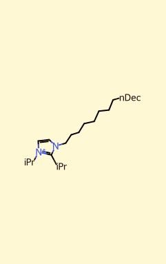 CCCCCCCCCCCCCCCCCCn1cc[n+](C(C)C)c1C(C)C